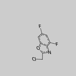 Fc1cc(F)c2nc(CCl)oc2c1